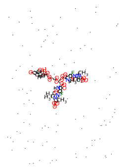 COc1c(N2CCN(Cc3oc(=O)oc3C)C(C)C2)c(F)cc2c(=O)c(C(=O)OCC(COC(=O)c3cn(C4CC4)c4c(OC)c(N5CCN(Cc6oc(=O)oc6C)C(C)C5)c(F)cc4c3=O)OC(=O)CCC(=O)OCC(=O)[C@@]34CC[C@H]5[C@@H]6CCC7=CC(=O)C=C[C@]7(C)C6[C@@H](O)C[C@@]53O4)cn(C3CC3)c12